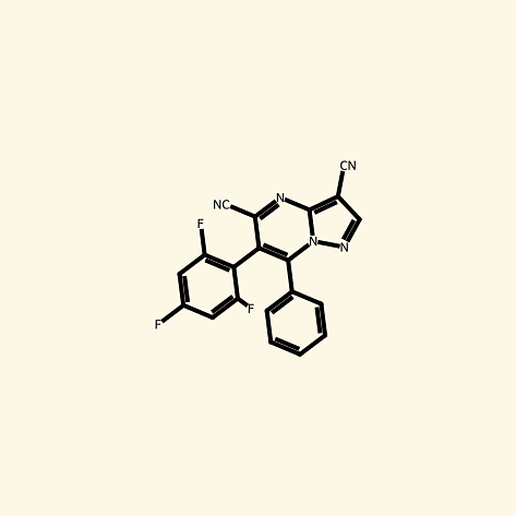 N#Cc1nc2c(C#N)cnn2c(-c2ccccc2)c1-c1c(F)cc(F)cc1F